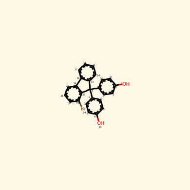 Oc1ccc(C2(c3ccc(O)cc3)c3ccccc3-c3cccc(Br)c32)cc1